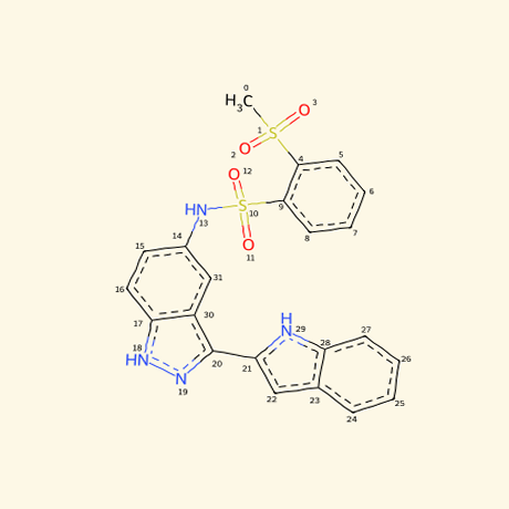 CS(=O)(=O)c1ccccc1S(=O)(=O)Nc1ccc2[nH]nc(-c3cc4ccccc4[nH]3)c2c1